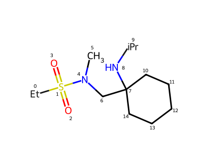 CCS(=O)(=O)N(C)CC1(NC(C)C)CCCCC1